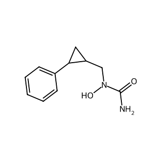 NC(=O)N(O)CC1CC1c1ccccc1